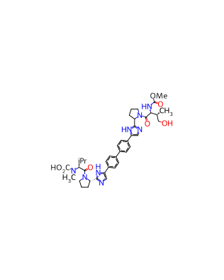 COC(=O)N[C@H](C(=O)N1CCCC1c1ncc(-c2ccc(-c3ccc(-c4cnc([C@@H]5CCCN5C(=O)[C@H](C(C)C)N(C)C(=O)O)[nH]4)cc3)cc2)[nH]1)[C@@H](C)CO